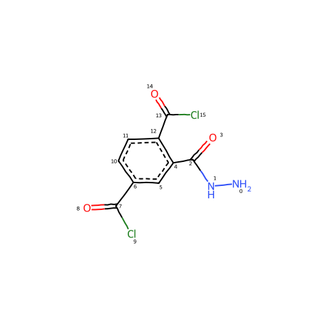 NNC(=O)c1cc(C(=O)Cl)ccc1C(=O)Cl